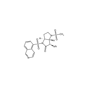 CCC[C@H]1C(=O)N(S(=O)(=O)c2cccc3cnccc23)[C@H]2CCN(S(C)(=O)=O)[C@H]12